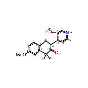 COc1ccc2c(c1)C(C)(C)C(=O)C(c1ccncc1O)C2